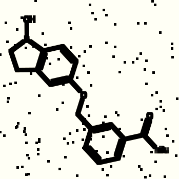 CCCCC(=O)c1cccc(COc2ccc3c(c2)CCB3O)c1